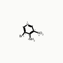 Nc1c(Br)cncc1[N+](=O)[O-]